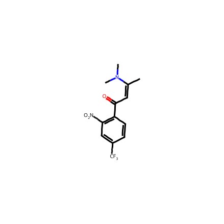 C/C(=C/C(=O)c1ccc(C(F)(F)F)cc1[N+](=O)[O-])N(C)C